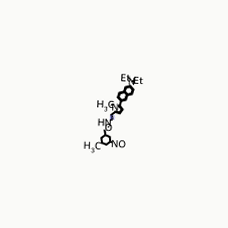 CCN(CC)c1ccc2cc(-c3ccc(/C=C/NOCC4CC(C)CC(N=O)C4)n3C)ccc2c1